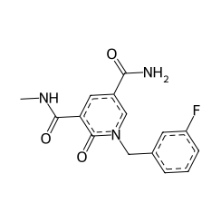 CNC(=O)c1cc(C(N)=O)cn(Cc2cccc(F)c2)c1=O